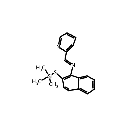 C[Si](C)(C)Sc1ccc2ccccc2c1/N=C/c1ccccn1